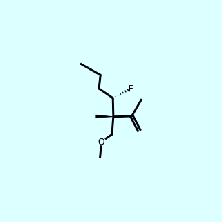 C=C(C)[C@](C)(COC)[C@@H](F)CCC